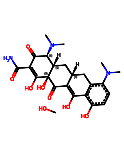 CN(C)c1ccc(O)c2c1C[C@H]1C[C@H]3[C@H](N(C)C)C(=O)C(C(N)=O)=C(O)[C@@]3(O)C(=O)C1=C2O.CO